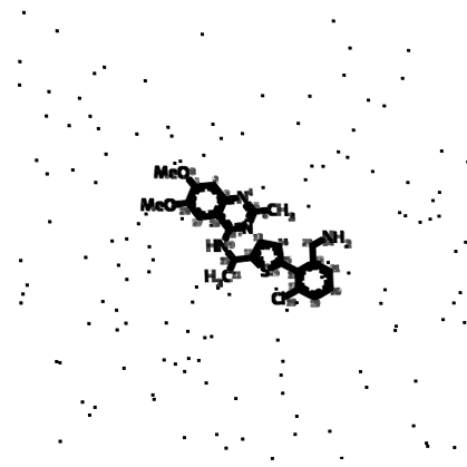 COc1cc2nc(C)nc(NC(C)c3ccc(-c4c(Cl)cccc4CN)s3)c2cc1OC